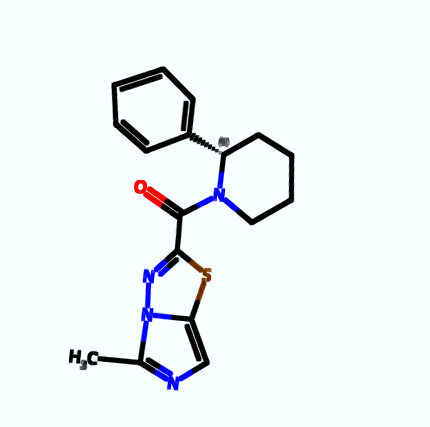 Cc1ncc2sc(C(=O)N3CCCC[C@H]3c3ccccc3)nn12